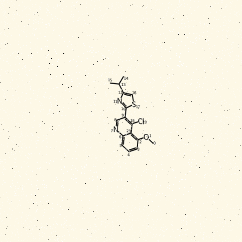 COc1cccc2n[c]c(-c3nc(C(C)C)cs3)c(Cl)c12